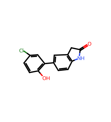 O=C1Cc2cc(-c3cc(Cl)ccc3O)ccc2N1